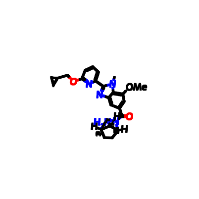 COc1cc(C(=O)N2C[C@H]3CC[C@@H]2[C@@H]3N)cc2nc(-c3cccc(OCC4CC4)n3)n(C)c12